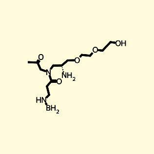 BNCCC(=O)N(CC(C)=O)C[C@@H](N)COCCOCCO